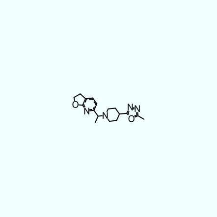 Cc1nnc(C2CCN(C(C)c3ccc4c(n3)OCC4)CC2)o1